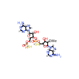 COC1C(O)C(COP(=O)(S)OC2C(CO[PH](=O)S)OC(N3C=NC4C(N)=NC=NC43)C2O)OC1N1C=NC2C(N)=NC=NC21